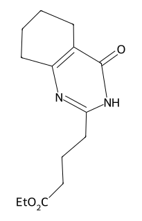 CCOC(=O)CCCc1nc2c(c(=O)[nH]1)CCCC2